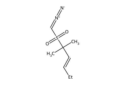 CCC=CC(C)(C)S(=O)(=O)C=[N+]=[N-]